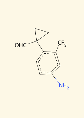 Nc1ccc(C2(C=O)CC2)c(C(F)(F)F)c1